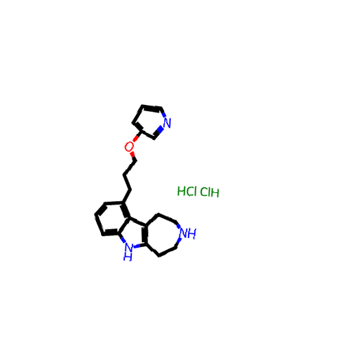 Cl.Cl.c1cncc(OCCCc2cccc3[nH]c4c(c23)CCNCC4)c1